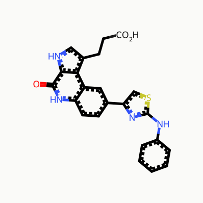 O=C(O)CCc1c[nH]c2c(=O)[nH]c3ccc(-c4csc(Nc5ccccc5)n4)cc3c12